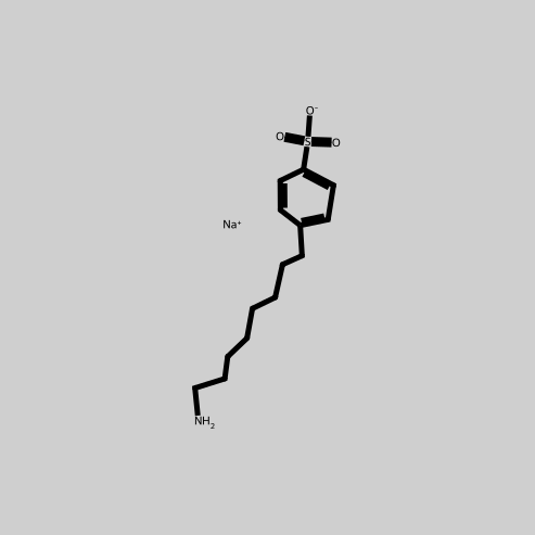 NCCCCCCCCc1ccc(S(=O)(=O)[O-])cc1.[Na+]